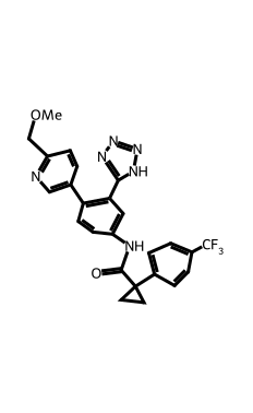 COCc1ccc(-c2ccc(NC(=O)C3(c4ccc(C(F)(F)F)cc4)CC3)cc2-c2nnn[nH]2)cn1